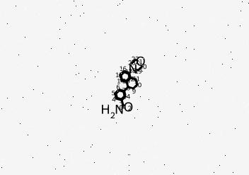 NC(=O)c1cccc(C2CCCc3c2cccc3N2CCOCC2)c1